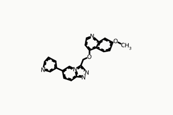 COc1ccc2c(OCc3nnc4ccc(-c5cccnc5)cn34)ccnc2c1